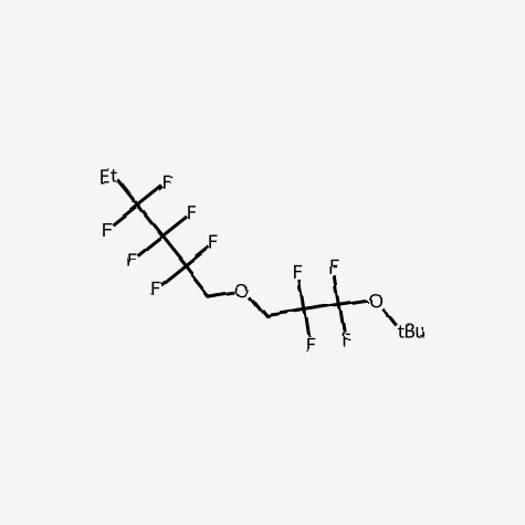 CCC(F)(F)C(F)(F)C(F)(F)COCC(F)(F)C(F)(F)OC(C)(C)C